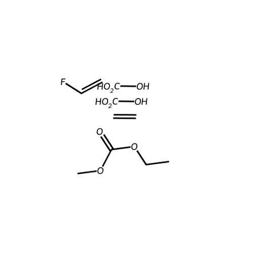 C=C.C=CF.CCOC(=O)OC.O=C(O)O.O=C(O)O